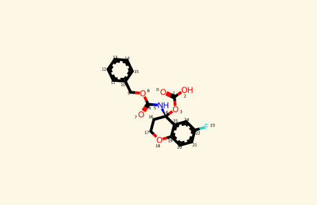 O=C(O)O[C@@]1(NC(=O)OCc2ccccc2)CCOc2ccc(F)cc21